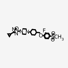 CS(=O)(=O)c1ccc(OCC2CCC(N3CCN(c4nc(C5CC5)no4)CC3)CC2)c(F)c1